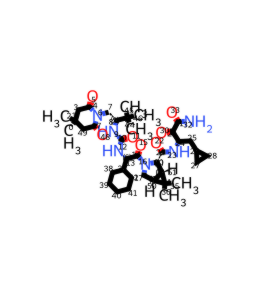 CC1(C)CC(=O)N(C[C@@H](NC(=O)N[C@H](C(=O)N2C[C@H]3[C@@H]([C@H]2C(=O)NC(CC2CC2)C(=O)C(N)=O)C3(C)C)C2CCCCC2)C(C)(C)C)C(=O)C1